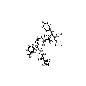 CNCC(O)C(CC1CCCCC1)NC(=O)N1CCO[C@@H]([C@@H](OCCNC(=O)O)c2cccc(Cl)c2)C1